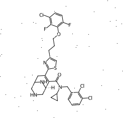 O=C(C1=C(c2nc(CCCOc3c(F)ccc(Cl)c3F)cs2)CC2CNC[C@H]1N2)N(Cc1cccc(Cl)c1Cl)C1CC1